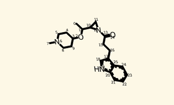 CC(OC1CCN(C)CC1)C1CN1C(=O)CCc1c[nH]c2ccccc12